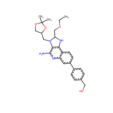 CCOCC1Nc2c(c(N)nc3cc(-c4ccc(CO)cc4)ccc23)N1CC1COC(C)(C)O1